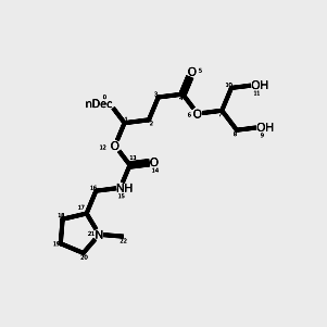 CCCCCCCCCCC(CCC(=O)OC(CO)CO)OC(=O)NCC1CCCN1C